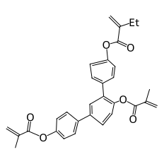 C=C(C)C(=O)Oc1ccc(-c2ccc(OC(=O)C(=C)C)c(-c3ccc(OC(=O)C(=C)CC)cc3)c2)cc1